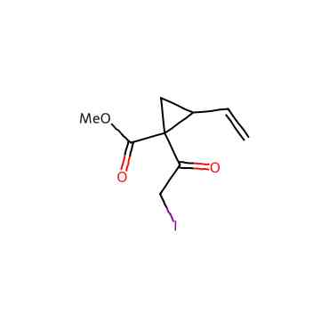 C=CC1CC1(C(=O)CI)C(=O)OC